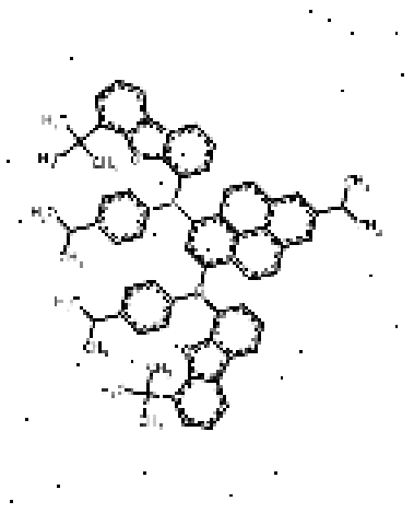 CC(C)c1ccc(N(c2cc(N(c3ccc(C(C)C)cc3)c3cccc4c3oc3c(C(C)(C)C)cccc34)c3ccc4cc(C(C)C)cc5ccc2c3c54)c2cccc3c2oc2c(C(C)(C)C)cccc23)cc1